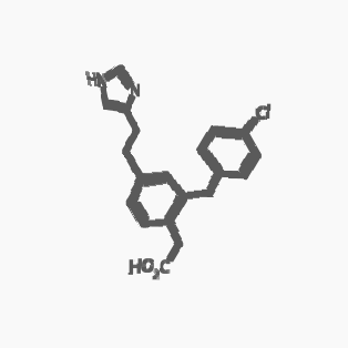 O=C(O)Cc1ccc(CCc2c[nH]cn2)cc1Cc1ccc(Cl)cc1